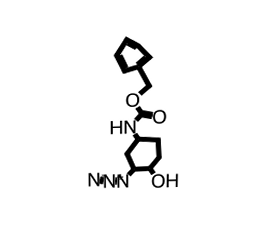 [N-]=[N+]=NC1CC(NC(=O)OCc2ccccc2)CCC1O